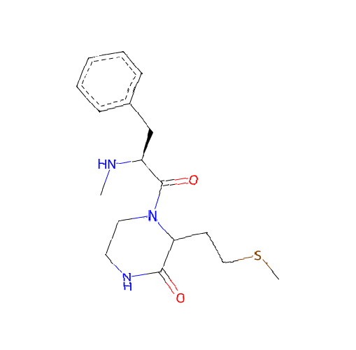 CN[C@@H](Cc1ccccc1)C(=O)N1CCNC(=O)C1CCSC